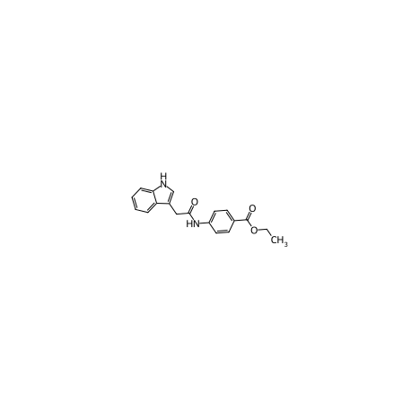 CCOC(=O)c1ccc(NC(=O)Cc2c[nH]c3ccccc23)cc1